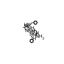 CC1CN=C(NCN(CCc2ccccc2)C2=NC(C)CN=C(N)N2)NC(NCCc2ccccc2)=N1